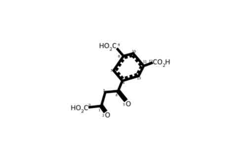 O=C(O)C(=O)CC(=O)c1cc(C(=O)O)cc(C(=O)O)c1